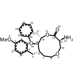 COc1ccc(C[C@H]2CCOC[C@H](N)C(=O)O[C@@H](C)[C@@H]2Oc2ccccc2)cc1